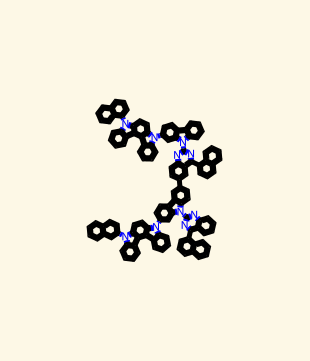 c1ccc2cc(-n3c4ccccc4c4c5c6ccccc6n(-c6ccc7c8cc(-c9ccc%10nc(-n%11c%12ccccc%12c%12ccc(-n%13c%14ccccc%14c%14c%15c%16ccccc%16n(-c%16cccc%17ccccc%16%17)c%15ccc%14%13)cc%12%11)nc(-c%11cccc%12ccccc%11%12)c%10c9)ccc8n(-c8nc(-c9cccc%10ccccc9%10)c9ccccc9n8)c7c6)c5ccc43)ccc2c1